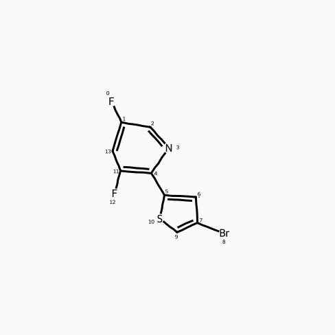 Fc1cnc(-c2[c]c(Br)cs2)c(F)c1